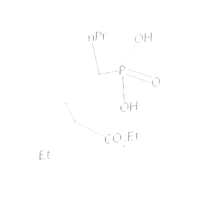 CCCC(CC(CC)C(=O)OCC)P(=O)(O)O